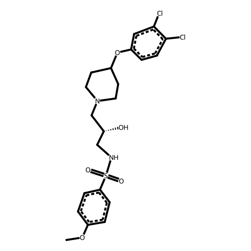 COc1ccc(S(=O)(=O)NC[C@@H](O)CN2CCC(Oc3ccc(Cl)c(Cl)c3)CC2)cc1